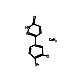 CC(C)c1ccc(-c2ccc(=O)[nH]n2)cc1Cl.[CaH2]